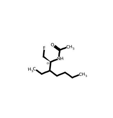 CCCCC(CC)[C@@H](CF)NC(C)=O